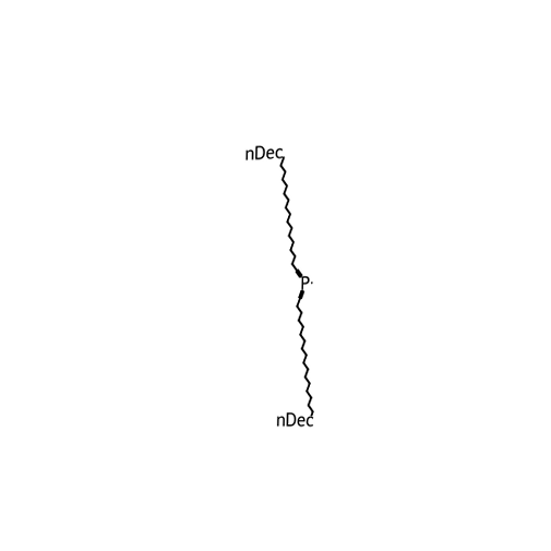 CCCCCCCCCCCCCCCCCCCCCCCCCCC#C[P]C#CCCCCCCCCCCCCCCCCCCCCCCCCCC